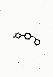 c1cc(-c2c[nH]nn2)ccc1OC1CCCC1